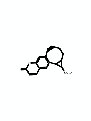 CCOC(=O)C1C2CCC#Cc3cc4oc(=O)ccc4cc3C21